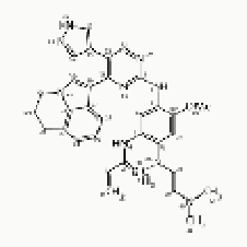 C=CC(=O)Nc1cc(Nc2ncc(-c3cn[nH]c3)c(-c3cn4c5c(cccc35)CCC4)n2)c(OC)cc1N(C)CCN(C)C